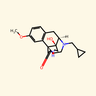 COc1ccc2c(c1)[C@]13CCN(CC4CC4)[C@H](C2)[C@]1(O)CCNC(=O)C3